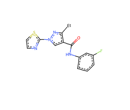 CCc1nn(-c2nccs2)cc1C(=O)Nc1cccc(F)c1